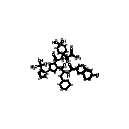 CC(C)(O)c1cnnn1[C@H]1C[C@@H](C(=O)NC2(C(=O)C(N)=O)CCS(O)(O)CC2)N(C(=O)C(CC2CCCCC2)NC(=O)c2cnc3cc(Cl)ccc3c2)C1